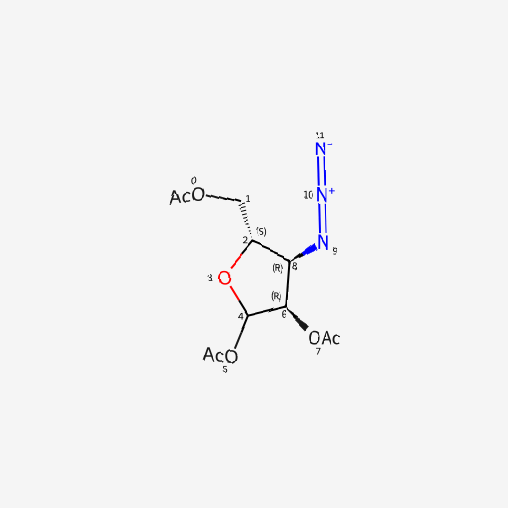 CC(=O)OC[C@H]1OC(OC(C)=O)[C@H](OC(C)=O)[C@@H]1N=[N+]=[N-]